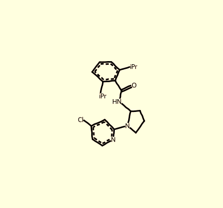 CC(C)c1cccc(C(C)C)c1C(=O)NC1CCCN1c1cc(Cl)ccn1